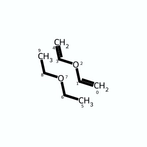 C=COC=C.CCOCC